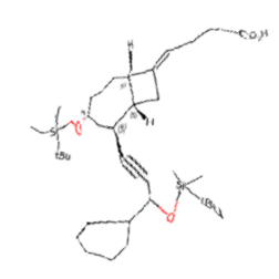 CC(C)(C)[Si](C)(C)OC(C#C[C@@H]1[C@H]2CC(=CCCC(=O)O)[C@H]2CC[C@H]1O[Si](C)(C)C(C)(C)C)C1CCCCC1